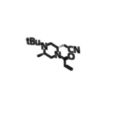 C=CC(=O)N1C[C@@H](C)N(C(C)(C)C)C[C@@H]1CC#N